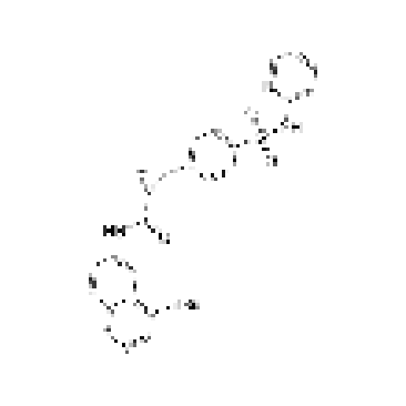 CCCCc1cncc2ccc(NC(=O)[C@@H]3CC3c3ccc(S(=O)(=O)Nc4ccccn4)cc3)cc12